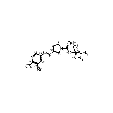 CC(C)(C)OC(=O)N1CC[C@@H](COc2cnc(Cl)c(Br)c2)C1